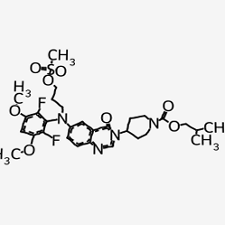 COc1cc(OC)c(F)c(N(CCCOS(C)(=O)=O)c2ccc3ncn(C4CCN(C(=O)OCC(C)C)CC4)c(=O)c3c2)c1F